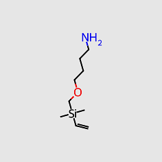 C=C[Si](C)(C)COCCCCN